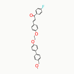 COCc1ccc(-c2ccc(OCCOc3ccc(/C=C/C(=O)c4ccc(F)cc4)cc3)cc2)cc1